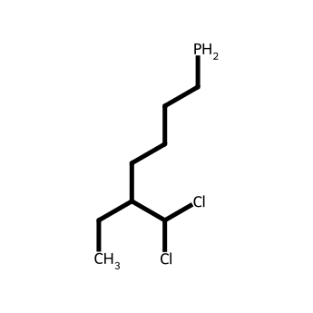 CCC(CCCCP)C(Cl)Cl